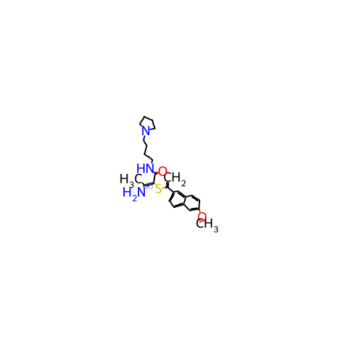 C=C(S/C(C(=O)NCCCCN1CCCC1)=C(/C)N)c1ccc2cc(OC)ccc2c1